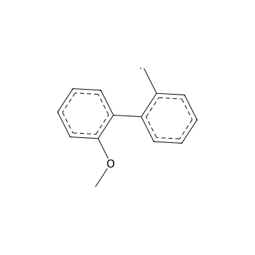 [CH2]c1ccccc1-c1ccccc1OC